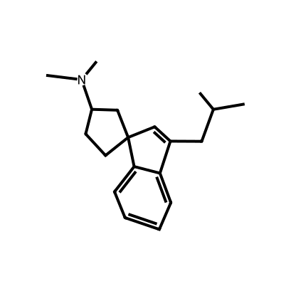 CC(C)CC1=CC2(CCC(N(C)C)C2)c2ccccc21